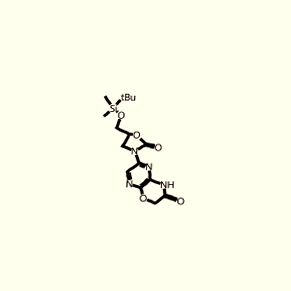 CC(C)(C)[Si](C)(C)OCC1CN(c2cnc3c(n2)NC(=O)CO3)C(=O)O1